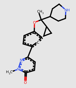 Cn1nc(-c2ccc(OC(C)(C3CCNCC3)C3CC3)cc2)ccc1=O